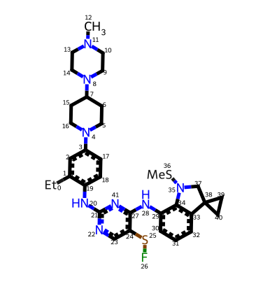 CCc1cc(N2CCC(N3CCN(C)CC3)CC2)ccc1Nc1ncc(SF)c(Nc2cccc3c2N(SC)CC32CC2)n1